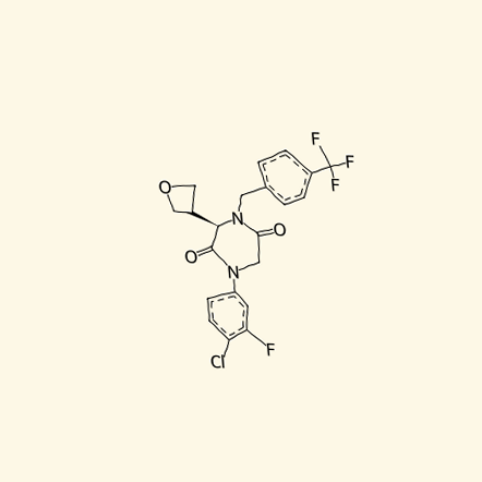 O=C1[C@@H](C2COC2)N(Cc2ccc(C(F)(F)F)cc2)C(=O)CN1c1ccc(Cl)c(F)c1